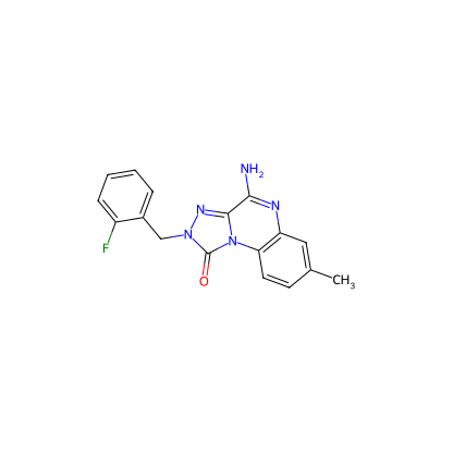 Cc1ccc2c(c1)nc(N)c1nn(Cc3ccccc3F)c(=O)n12